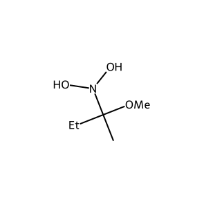 CCC(C)(OC)N(O)O